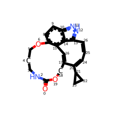 O=C1NCCCOc2ccc3[nH]nc4c3c2C=C(CO1)C(C1CC1)=CC=C4